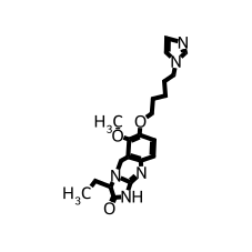 CCC1C(=O)NC2=Nc3ccc(OCCCCCn4ccnc4)c(OC)c3CN21